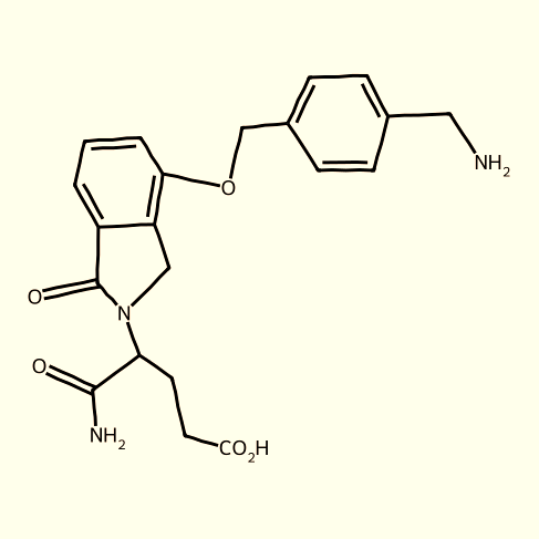 NCc1ccc(COc2cccc3c2CN(C(CCC(=O)O)C(N)=O)C3=O)cc1